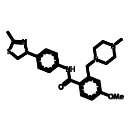 COc1ccc(C(=O)Nc2ccc(C3CSC(C)=N3)cc2)c(CN2CCN(C)CC2)c1